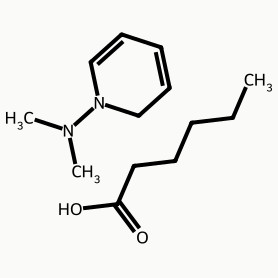 CCCCCC(=O)O.CN(C)N1C=CC=CC1